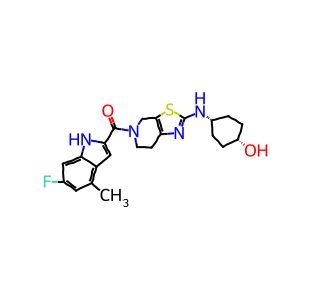 Cc1cc(F)cc2[nH]c(C(=O)N3CCc4nc(N[C@H]5CC[C@@H](O)CC5)sc4C3)cc12